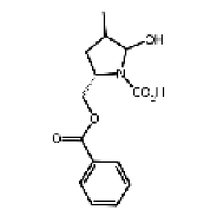 CC1C[C@@H](COC(=O)c2ccccc2)N(C(=O)O)C1O